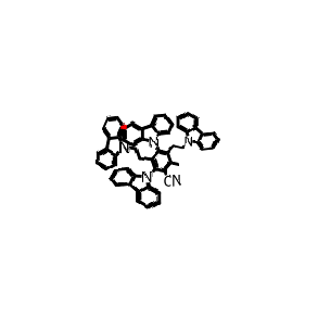 Cc1c(C#N)c(-n2c3ccccc3c3ccccc32)c(CCn2c3ccccc3c3ccccc32)c(-n2c3ccccc3c3ccccc32)c1CCn1c2ccccc2c2ccccc21